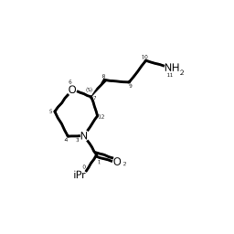 CC(C)C(=O)N1CCO[C@@H](CCCN)C1